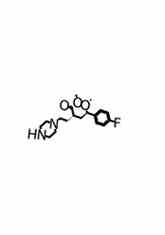 COC(=O)[C@@H](CCN1CCNCC1)C[C@@H](OC)c1ccc(F)cc1